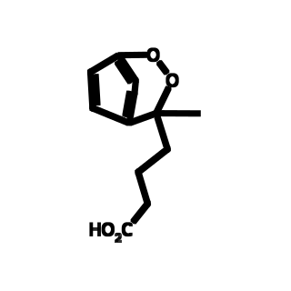 CC1(CCCC(=O)O)OOc2ccc1cc2